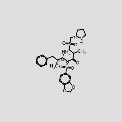 CC(CS(=O)(=O)C[C@H]1CCCN1)C(=O)N([C@H](N)[C@@H](C)Cc1ccccc1)S(=O)(=O)c1ccc2c(c1)OCO2